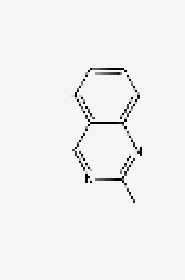 Cc1cccc2nc(I)ncc12